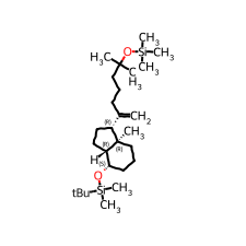 C=C(CCCC(C)(C)O[Si](C)(C)C)[C@H]1CC[C@H]2[C@@H](O[Si](C)(C)C(C)(C)C)CCC[C@]12C